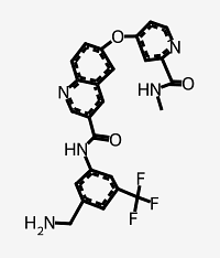 CNC(=O)c1cc(Oc2ccc3ncc(C(=O)Nc4cc(CN)cc(C(F)(F)F)c4)cc3c2)ccn1